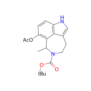 CC(=O)Oc1ccc2[nH]cc3c2c1C(C)N(C(=O)OC(C)(C)C)CC3